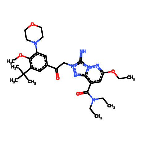 CCOc1cc(C(=O)N(CC)CC)c2nn(CC(=O)c3cc(N4CCOCC4)c(OC)c(C(C)(C)C)c3)c(=N)n2n1